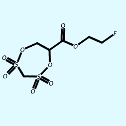 O=C(OCCF)C1COS(=O)(=O)CS(=O)(=O)O1